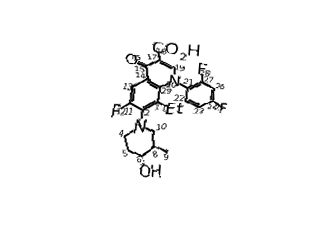 CCc1c(N2CC[C@@H](O)[C@H](C)C2)c(F)cc2c(=O)c(C(=O)O)cn(-c3ccc(F)cc3F)c12